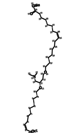 CCCCCCCC/C=C\CCCCCCCCOC(CCOCCCCCCC/C=C\CCCCCCC(=O)OC)CN(C)C